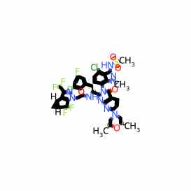 C[C@@H]1CN(c2ccc3c(=O)n(-c4ccc(Cl)c5c(NS(C)(=O)=O)nn(C)c45)c([C@H](Cc4cc(F)cc(F)c4)NC(=O)Cn4nc(C(F)F)c5c4C(F)(F)[C@@H]4C[C@H]54)nc3n2)C[C@H](C)O1